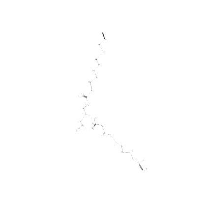 C=CCCCCCCCCC(=O)OCC(CO)OC(=O)CCCCCCCCC=C